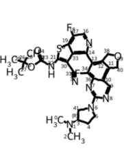 CN(C)[C@@H]1CCN(c2ncc3c4c(c(-c5ncc(F)c6sc(NC(=O)OC(C)(C)C)c(C#N)c56)c(F)c3n2)COC4)C1